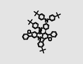 CC(C)(C)c1ccc(N2B3c4cc5oc6ccccc6c5cc4-n4c5ccc(C(C)(C)C)cc5c5c6oc7ccccc7c6c(c3c54)-c3ccc(N(c4ccc(C(C)(C)C)cc4)c4ccc(C(C)(C)C)cc4)cc32)cc1